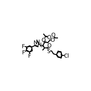 CC(=O)OCC1O[C@H](SCCc2ccc(Cl)cc2)C(C)[C@@H](n2cc(-c3cc(F)c(F)c(F)c3)nn2)[C@H]1OC(C)=O